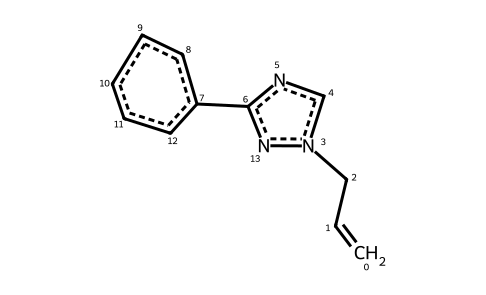 C=CCn1cnc(-c2ccccc2)n1